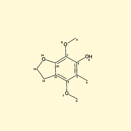 COc1c(C)c(O)c(OC)c2c1CCO2